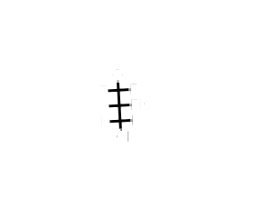 [K+].[O-]C(F)(F)C(F)(F)C(F)(F)C(F)(F)F